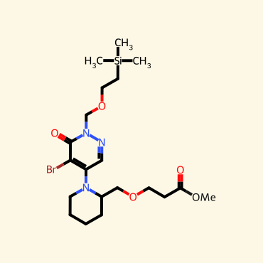 COC(=O)CCOCC1CCCCN1c1cnn(COCC[Si](C)(C)C)c(=O)c1Br